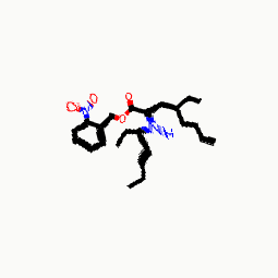 CCCCC(CC)CC(NC(CC)CCCC)C(=O)OCc1ccccc1[N+](=O)[O-]